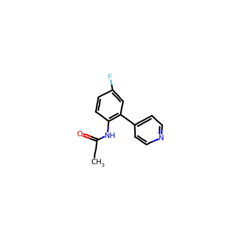 CC(=O)Nc1ccc(F)cc1-c1ccncc1